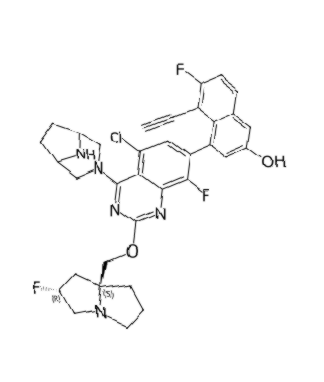 C#Cc1c(F)ccc2cc(O)cc(-c3cc(Cl)c4c(N5CC6CCC(C5)N6)nc(OC[C@@]56CCCN5C[C@H](F)C6)nc4c3F)c12